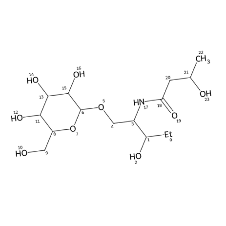 CCC(O)C(COC1OC(CO)C(O)C(O)C1O)NC(=O)CC(C)O